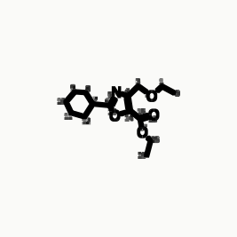 CCOCc1nc(C2CCCCC2)oc1C(=O)OCC